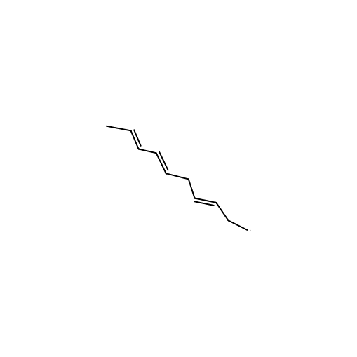 [CH2]CC=CCC=CC=CC